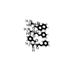 N=C(N)N(C(=O)C=Cc1ccccc1)C(=O)c1ccccc1.N=C(N)NC(=O)CCc1ccccc1.N=C(N)NC(=O)c1ccc2ccccc2c1Br